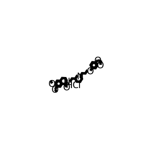 COc1cc2c(cc1OC)C(=O)N(CCC1CCCN(CCCOc3ccc4c(c3)OCO4)C1)CC2.Cl